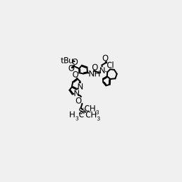 CC(C)(C)OC(=O)c1ccc(NC(=O)CN(CC(=O)Cl)[C@@H]2CCCCc3ccccc32)cc1Oc1cnc2c(ccn2COCC[Si](C)(C)C)c1